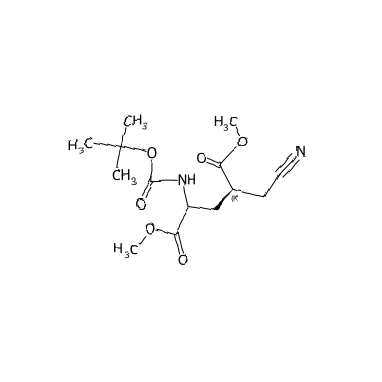 COC(=O)C(C[C@H](CC#N)C(=O)OC)NC(=O)OC(C)(C)C